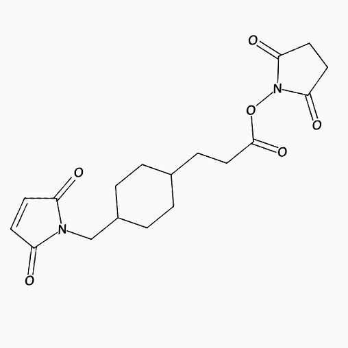 O=C(CCC1CCC(CN2C(=O)C=CC2=O)CC1)ON1C(=O)CCC1=O